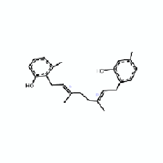 C/C(=C\Cc1ccc(C)cc1O)CC/C(C)=C/Cc1c(C)cccc1O